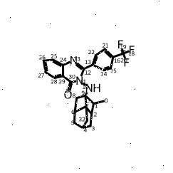 CC1C2CC3CC(C2)CC1(Nn1c(-c2ccc(C(F)(F)F)cc2)nc2ccccc2c1=O)C3